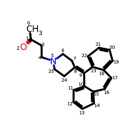 CC(=O)CCN1CCC(=C2c3ccccc3C=Cc3ccccc32)CC1